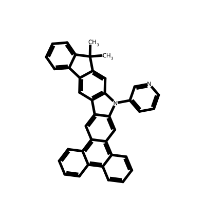 CC1(C)c2ccccc2-c2cc3c4cc5c6ccccc6c6ccccc6c5cc4n(-c4cccnc4)c3cc21